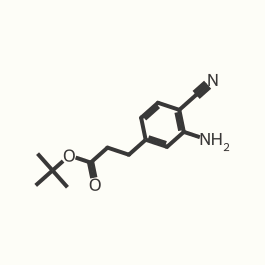 CC(C)(C)OC(=O)CCc1ccc(C#N)c(N)c1